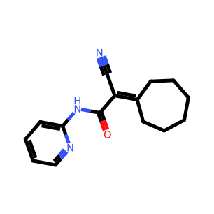 N#CC(C(=O)Nc1ccccn1)=C1CCCCCC1